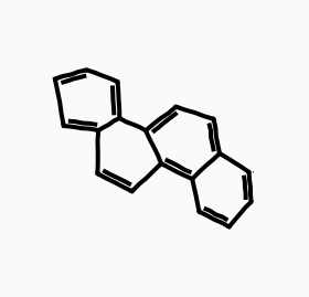 [c]1cccc2c1ccc1c3ccccc3ccc21